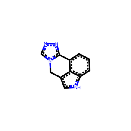 c1cc2c3c(c[nH]c3c1)Cn1cnnc1-2